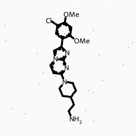 COc1cc(OC)c(-c2cn3ccc(N4CCC(CCN)CC4)nc3n2)cc1Cl